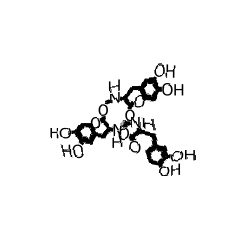 O=C1OCNC(Cc2ccc(O)c(O)c2)C(=O)O[C@@]2(NC1Cc1ccc(O)c(O)c1)NC(Cc1ccc(O)c(O)c1)C(=O)O2